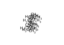 CC(C)C(OP(N)(=O)OC(C(C)C)C(C(C)C)[Si](C)(C)C)C(C(C)C)[Si](C)(C)C